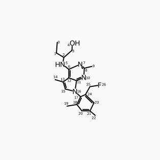 CCC(CO)Nc1nc(C)nc2c1c(C)cn2-c1c(C)cc(C)cc1CF